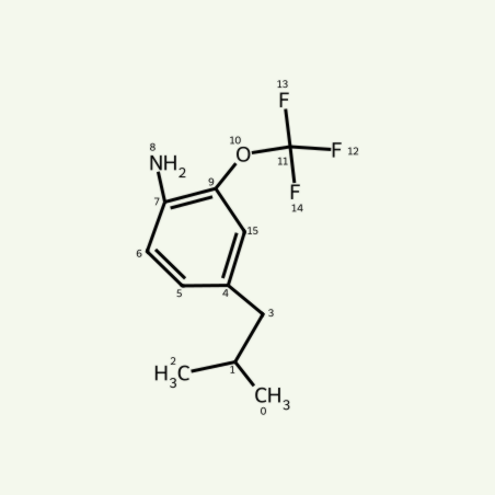 CC(C)Cc1ccc(N)c(OC(F)(F)F)c1